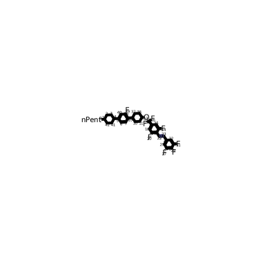 CCCCCC1CCC(c2ccc(C3CCC(OC(F)(F)c4cc(F)c(/C=C/c5cc(F)c(F)c(F)c5)c(F)c4)CC3)c(F)c2)CC1